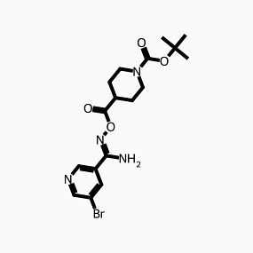 CC(C)(C)OC(=O)N1CCC(C(=O)O/N=C(\N)c2cncc(Br)c2)CC1